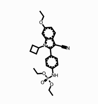 CCOc1ccc2c(C#N)c(-c3ccc(NP(=O)(OCC)OCC)cc3)n(C3CCC3)c2c1